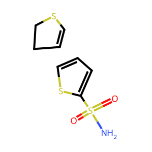 C1=CSCC1.NS(=O)(=O)c1cccs1